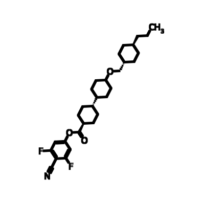 CCC[C@H]1CC[C@H](COC2CCC([C@H]3CC[C@H](C(=O)Oc4cc(F)c(C#N)c(F)c4)CC3)CC2)CC1